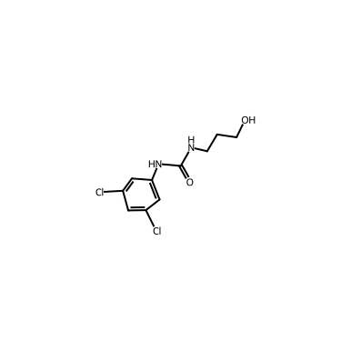 O=C(NCCCO)Nc1cc(Cl)cc(Cl)c1